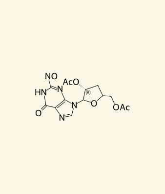 CC(=O)OCC1C[C@@H](OC(C)=O)C(n2cnc3c(=O)[nH]c(N=O)nc32)O1